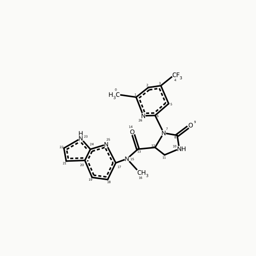 Cc1cc(C(F)(F)F)cc(N2C(=O)NCC2C(=O)N(C)c2ccc3cc[nH]c3n2)n1